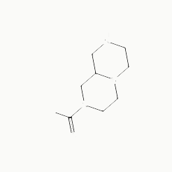 O=C(O)N1CCN2CCNCC2C1